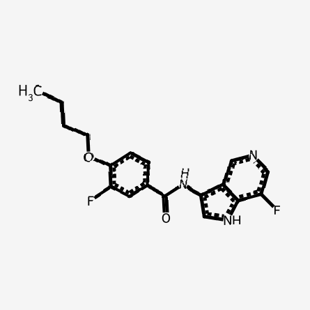 CCCCOc1ccc(C(=O)Nc2c[nH]c3c(F)cncc23)cc1F